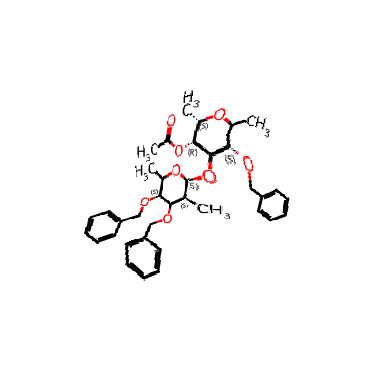 CC(=O)O[C@H]1C(O[C@@H]2OC(C)[C@H](OCc3ccccc3)C(OCc3ccccc3)[C@@H]2C)[C@@H](OCc2ccccc2)C(C)O[C@H]1C